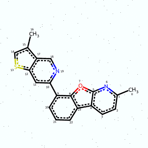 Cc1ccc2c(n1)oc1c(-c3cc4scc(C)c4cn3)cccc12